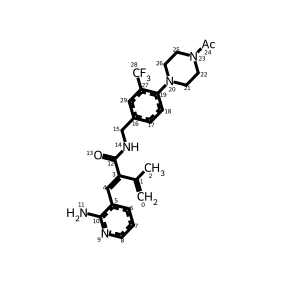 C=C(C)/C(=C\c1cccnc1N)C(=O)NCc1ccc(N2CCN(C(C)=O)CC2)c(C(F)(F)F)c1